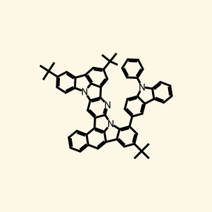 CC(C)(C)c1ccc2c(c1)c1cc(C(C)(C)C)cc3c4nc5c(cc4n2c13)c1c2ccccc2cc2c3cc(C(C)(C)C)cc(-c4ccc6c(c4)c4ccccc4n6-c4ccccc4)c3n5c21